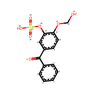 O=C(c1ccccc1)c1ccc(OCO)c(OS(=O)(=O)O)c1